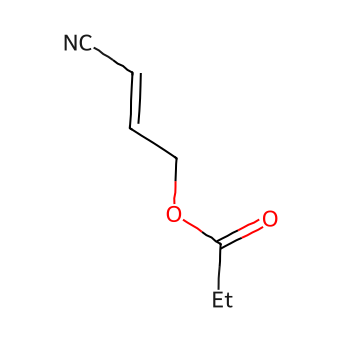 CCC(=O)OCC=CC#N